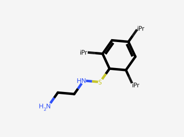 CC(C)C1=CC(C(C)C)C(SNCCN)C(C(C)C)=C1